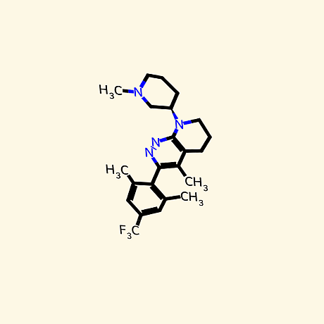 Cc1cc(C(F)(F)F)cc(C)c1-c1nnc2c(c1C)CCCN2[C@@H]1CCCN(C)C1